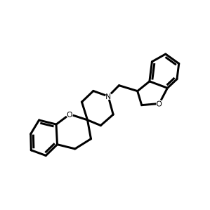 c1ccc2c(c1)CCC1(CCN(CC3COc4ccccc43)CC1)O2